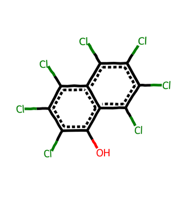 Oc1c(Cl)c(Cl)c(Cl)c2c(Cl)c(Cl)c(Cl)c(Cl)c12